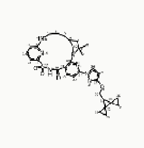 CC1(C)CC2CCCNc3cccc(n3)S(=O)(=O)NC(=O)c3ccc(-n4ccc(OCC5C6(CC6)C56CC6)n4)nc3N1C2